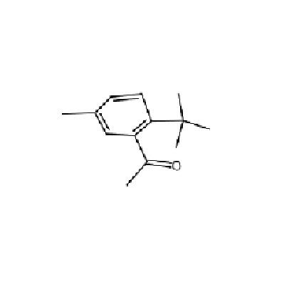 CC(=O)c1cc(C)ccc1C(C)(C)C